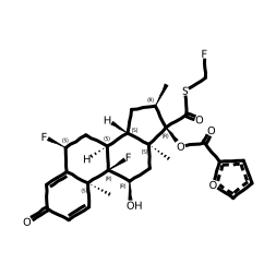 C[C@@H]1C[C@H]2[C@@H]3C[C@H](F)C4=CC(=O)C=C[C@]4(C)[C@@]3(F)[C@H](O)C[C@]2(C)[C@@]1(OC(=O)c1ccco1)C(=O)SCF